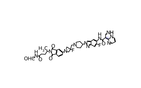 CC(CCC(=O)NC=O)N1C(=O)c2ccc(N3CC(F)(CN4CCC(n5cc6cc(NC(=O)/C(C=N)=C7\N=CC=CN7)c(F)cc6n5)CC4)C3)cc2C1=O